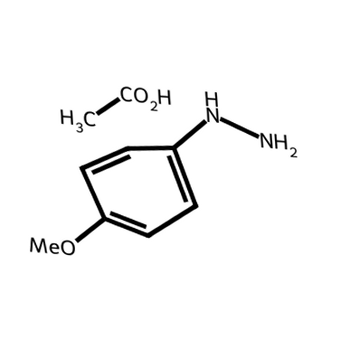 CC(=O)O.COc1ccc(NN)cc1